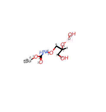 CC(C)(C)OC(=O)NOCC(C)(CO)OBO